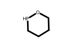 [CH]1CCPOC1